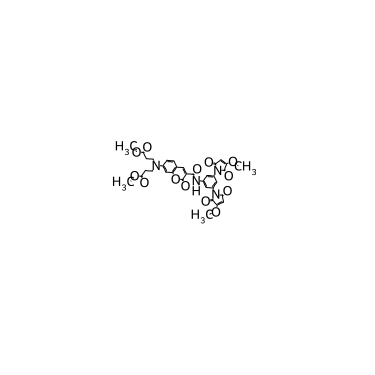 COC(=O)CCN(CCC(=O)OC)c1ccc2cc(C(=O)Nc3cc(N4C(=O)C=C(OC)C4=O)cc(N4C(=O)C=C(OC)C4=O)c3)c(=O)oc2c1